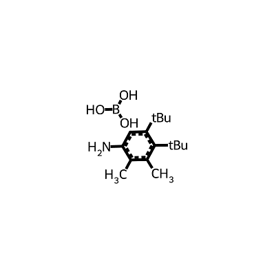 Cc1c(N)cc(C(C)(C)C)c(C(C)(C)C)c1C.OB(O)O